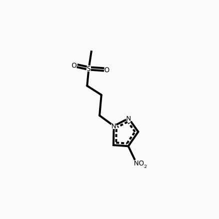 CS(=O)(=O)CCCn1cc([N+](=O)[O-])cn1